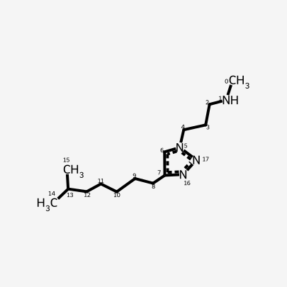 CNCCCn1cc(CCCCCC(C)C)nn1